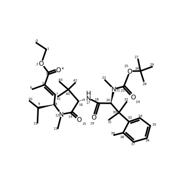 CCOC(=O)/C(C)=C/[C@H](C(C)C)N(C)C(=O)[C@@H](NC(=O)[C@@H](N(C)C(=O)OC(C)(C)C)C(C)(C)c1ccccc1C)C(C)(C)C